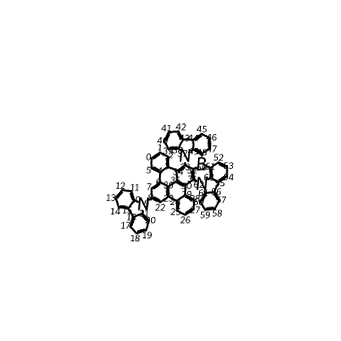 c1ccc2c(c1)c1cc(-n3c4ccccc4c4ccccc43)cc3c4ccccc4c4c5c6c(c2c4c13)-n1c2ccccc2c2cccc(c21)B6c1cccc2c3ccccc3n-5c12